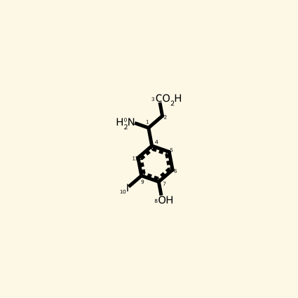 NC(CC(=O)O)c1ccc(O)c(I)c1